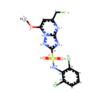 COc1cc(CF)nc2nc(S(=O)(=O)Nc3c(Cl)cccc3Cl)nn12